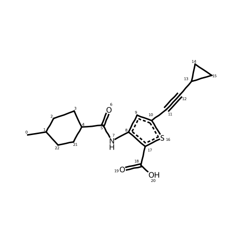 CC1CCC(C(=O)Nc2cc(C#CC3CC3)sc2C(=O)O)CC1